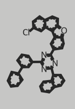 Clc1ccc2ccc3oc4ccc(-c5nc(-c6cccc(-c7ccccc7)c6)nc(-c6cccc7ccccc67)n5)cc4c3c2c1